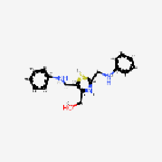 OCc1nc(CNc2ccccc2)sc1CNc1ccccc1